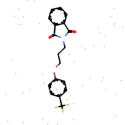 O=C1c2ccccc2C(=O)N1CCCOc1ccc(C(F)(F)F)cc1